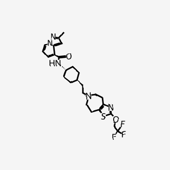 Cc1cc2c(C(=O)N[C@H]3CC[C@H](CCN4CCc5nc(OCC(F)(F)F)sc5CC4)CC3)cccn2n1